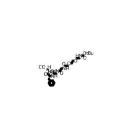 CC(C)(C)OC(=O)NCCOCCOCC(=O)NCC(=O)NCC(=O)N[C@@H](Cc1ccccc1)C(=O)NCC(=O)O